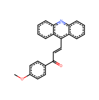 COc1ccc(C(=O)C=Cc2c3ccccc3nc3ccccc23)cc1